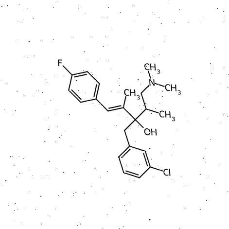 CC(=Cc1ccc(F)cc1)C(O)(Cc1cccc(Cl)c1)C(C)CN(C)C